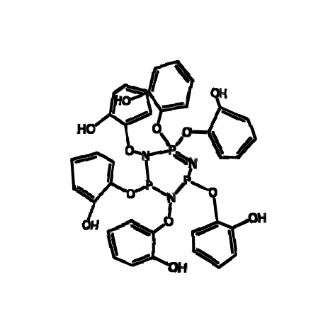 Oc1ccccc1ON1P(Oc2ccccc2O)N=P(Oc2ccccc2O)(Oc2ccccc2O)N(Oc2ccccc2O)P1Oc1ccccc1O